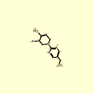 CCc1cnc(N2CCC(O)C(F)C2)nc1